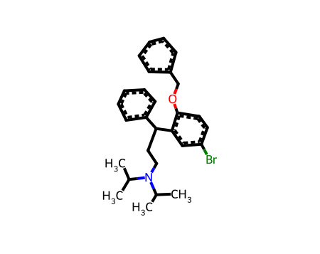 CC(C)N(CCC(c1ccccc1)c1cc(Br)ccc1OCc1ccccc1)C(C)C